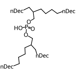 CCCCCCCCCCCCCCC(CCCCCCCCCCC)COP(=O)(O)OCC(CCCCCCCCCCC)CCCCCCCCCCCCCC